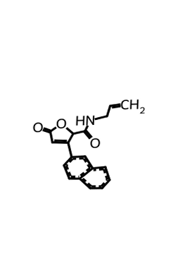 C=CCNC(=O)C1OC(=O)C=C1c1ccc2ccccc2c1